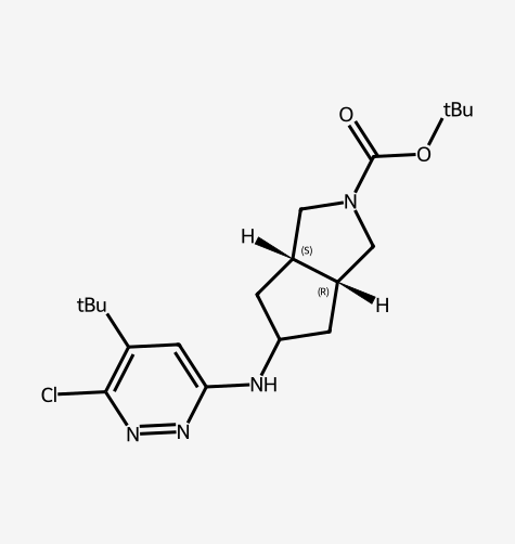 CC(C)(C)OC(=O)N1C[C@H]2CC(Nc3cc(C(C)(C)C)c(Cl)nn3)C[C@H]2C1